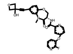 CN1C(=O)[C@@H](NC(=O)c2cc(Oc3cccnc3F)ccn2)COc2ccc(C#CC3(O)COC3)cc21